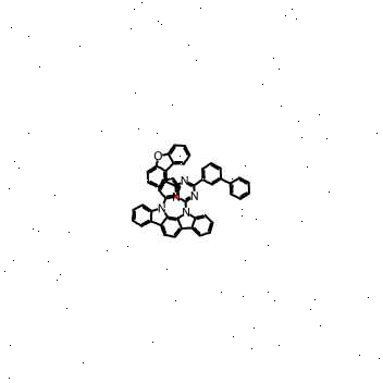 c1ccc(-c2cccc(-c3nc(-c4cccc5oc6ccccc6c45)nc(-n4c5ccccc5c5ccc6c7ccccc7n(-c7ccccc7)c6c54)n3)c2)cc1